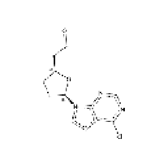 O=CC[C@@H]1CC[C@H](n2ccc3c(Cl)ncnc32)O1